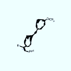 CCCCC/C=C(/F)c1ccc(C#Cc2ccc(OC(F)(F)F)cc2)cc1